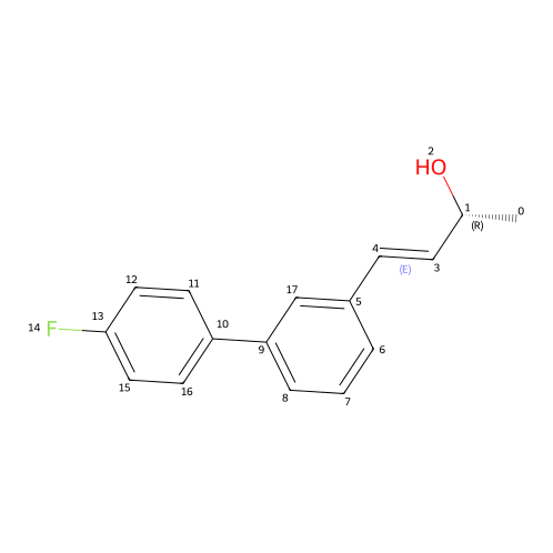 C[C@@H](O)/C=C/c1cccc(-c2ccc(F)cc2)c1